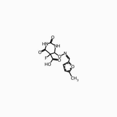 Cc1ccc(/C=N\OC2NC(=O)NC(=O)C2(F)C(=O)O)o1